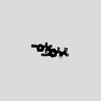 CCC(CC)C(=O)Nc1ccc(OC)c(S(=O)(=O)N[C@@H]2CCN(C#N)C2)c1